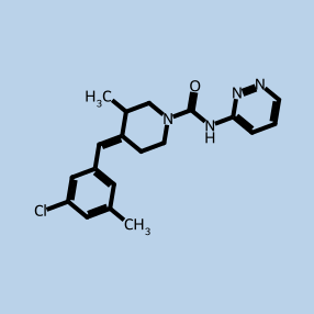 Cc1cc(Cl)cc(C=C2CCN(C(=O)Nc3cccnn3)CC2C)c1